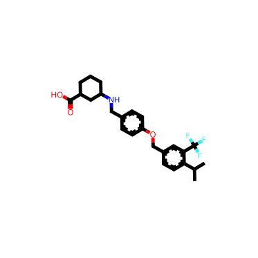 CC(C)c1ccc(COc2ccc(CNC3CCCC(C(=O)O)C3)cc2)cc1C(F)(F)F